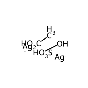 CC(=O)O.O=S(=O)(O)O.[Ag].[Ag]